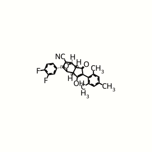 Cc1cc(C)c(C2=C(O)[C@@H]3C4O[C@@H](C(C#N)[C@H]4c4ccc(F)c(F)c4)[C@@H]3C2=O)c(C)c1